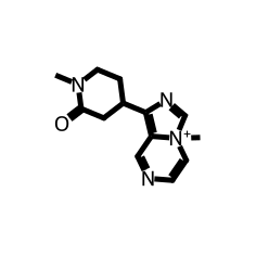 CN1CCC(C2=C3C=NC=C[N+]3(C)C=N2)CC1=O